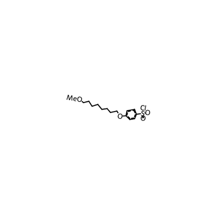 COCCCCCCCCOc1ccc(S(=O)(=O)Cl)cc1